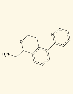 NCC1OCCc2c(-c3ccccn3)cccc21